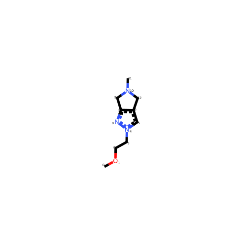 COCCn1cc2c(n1)CN(C)C2